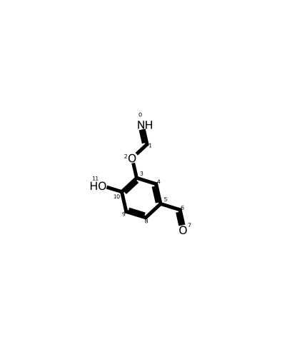 N=COc1cc(C=O)ccc1O